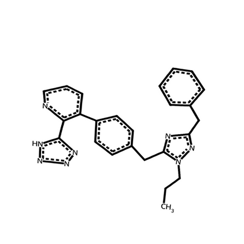 CCCn1nc(Cc2ccccc2)nc1Cc1ccc(-c2cccnc2-c2nnn[nH]2)cc1